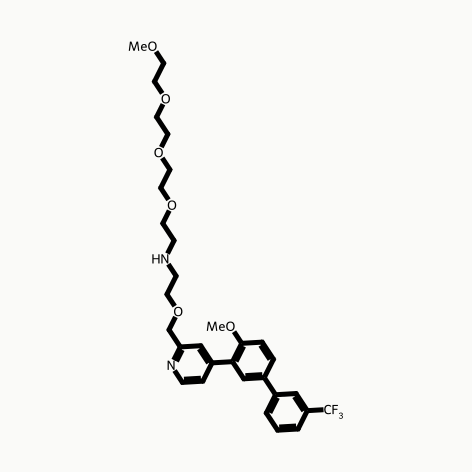 COCCOCCOCCOCCNCCOCc1cc(-c2cc(-c3cccc(C(F)(F)F)c3)ccc2OC)ccn1